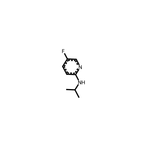 CC(C)Nc1ccc(F)cn1